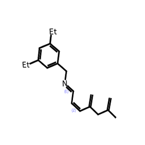 C=C(C)CC(=C)/C=C\C=N\Cc1cc(CC)cc(CC)c1